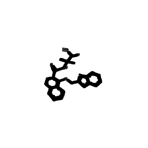 CC(C)(NC(=O)c1ccc2ccccc2c1OCc1cc2ccccc2s1)C(=O)O